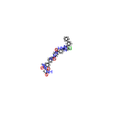 Cn1c(=O)n(C2CCC(=O)NC2=O)c2ccc(C3CCN(CC(=O)N4CCN(C(=O)C5CCCC(Nc6ncc(Cl)c(-c7cccc(-c8ccccc8)c7)n6)C5)CC4)CC3)cc21